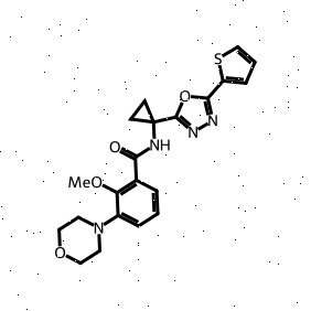 COc1c(C(=O)NC2(c3nnc(-c4cccs4)o3)CC2)cccc1N1CCOCC1